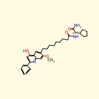 COc1cc2nc(-c3ccccc3)cc(O)c2cc1CCCCCCCCC(=O)N[C@H](C(N)=O)C1CCCC1